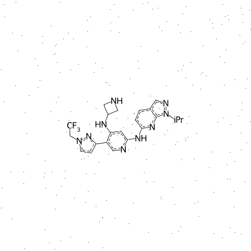 CC(C)n1ncc2ccc(Nc3cc(NC4CNC4)c(-c4ccn(CC(F)(F)F)n4)cn3)nc21